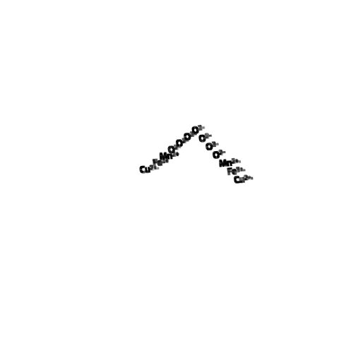 [Cu+2].[Cu+2].[Fe+3].[Fe+3].[Mn+2].[Mn+2].[O-2].[O-2].[O-2].[O-2].[O-2].[O-2].[O-2]